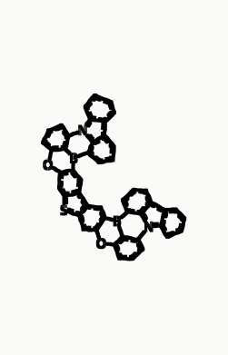 c1cc2c3c(c1)-n1c4ccccc4c4cccc(c41)B3c1cc3c(cc1O2)sc1cc2c(cc13)B1c3c(cccc3-n3c4ccccc4c4cccc1c43)O2